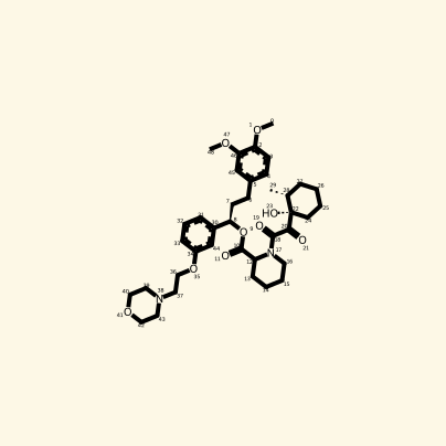 COc1ccc(CC[C@@H](OC(=O)C2CCCCN2C(=O)C(=O)[C@]2(O)CCCC[C@H]2C)c2cccc(OCCN3CCOCC3)c2)cc1OC